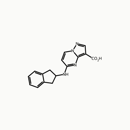 O=C(O)c1cnn2ccc(NC3Cc4ccccc4C3)nc12